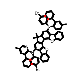 CCc1ccc(N(c2ccc(C)cc2-c2ccccc2)c2cc3c(c4oc5ccccc5c24)-c2c(cc(N(c4ccc(CC)cc4)c4ncc(C)cc4-c4ccccc4)c4c2oc2ccccc24)C3(C)C)cc1